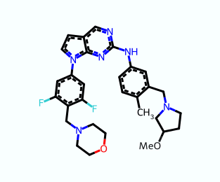 COC1CCN(Cc2cc(Nc3ncc4ccn(-c5cc(F)c(CN6CCOCC6)c(F)c5)c4n3)ccc2C)C1